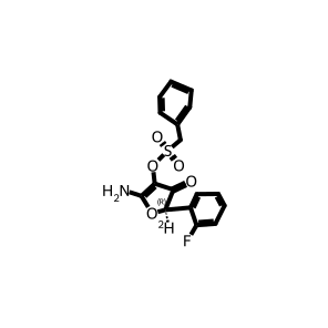 [2H][C@]1(c2ccccc2F)OC(N)=C(OS(=O)(=O)Cc2ccccc2)C1=O